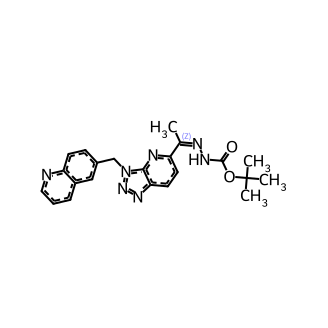 C/C(=N/NC(=O)OC(C)(C)C)c1ccc2nnn(Cc3ccc4ncccc4c3)c2n1